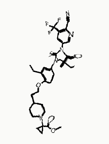 CCc1cc(N2C(=S)N(c3cnc(C#N)c(C(F)(F)F)c3)C(=O)C2(C)C)ccc1OCCC1CCN(C2(C(=O)OC)CC2)CC1